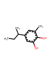 CCC(C)c1cc(C)c(O)c(O)c1